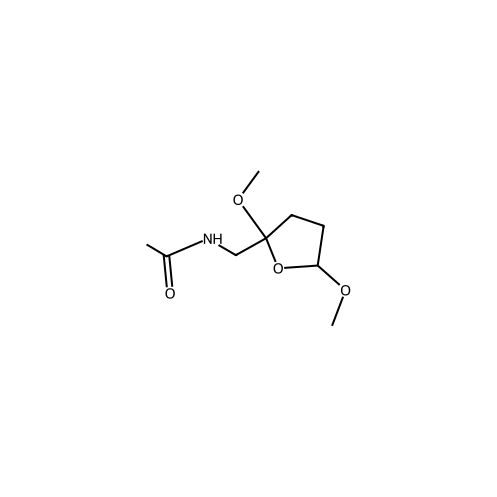 COC1CCC(CNC(C)=O)(OC)O1